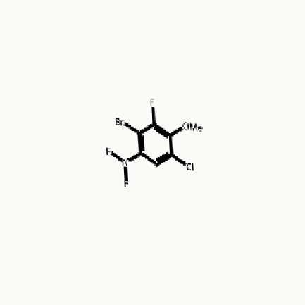 COc1c(Cl)cc(N(F)F)c(Br)c1F